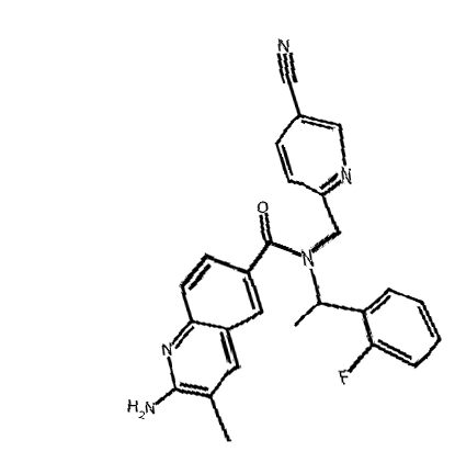 Cc1cc2cc(C(=O)N(Cc3ccc(C#N)cn3)C(C)c3ccccc3F)ccc2nc1N